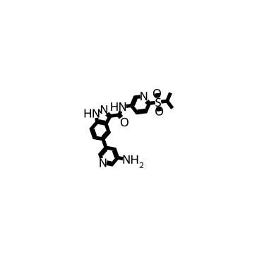 CC(C)S(=O)(=O)c1ccc(NC(=O)c2n[nH]c3ccc(-c4cncc(N)c4)cc23)cn1